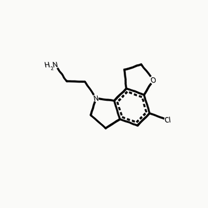 NCCN1CCc2cc(Cl)c3c(c21)CCO3